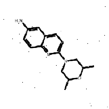 CC1CN(c2ccc3cc(N)ccc3n2)CC(C)O1